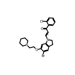 O=C(/C=C/N1CCc2cc(Br)c(OCCN3CCCCC3)cc21)c1ccccc1Cl